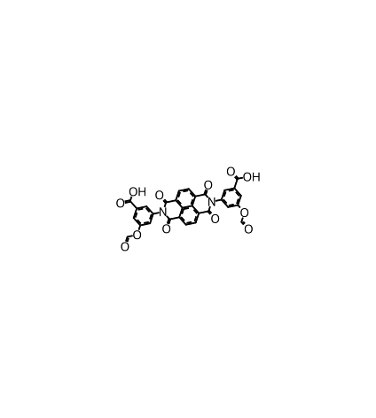 O=COc1cc(C(=O)O)cc(N2C(=O)c3ccc4c5c(ccc(c35)C2=O)C(=O)N(c2cc(OC=O)cc(C(=O)O)c2)C4=O)c1